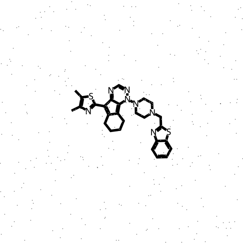 Cc1nc(-c2c3ncnn(N4CCN(Cc5nc6ccccc6s5)CC4)c-3c3c2CCCC3)sc1C